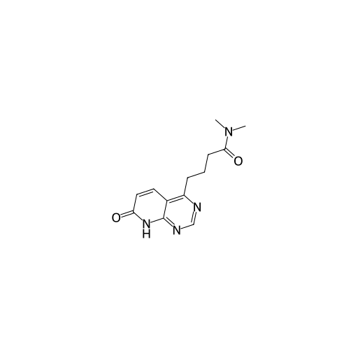 CN(C)C(=O)CCCc1ncnc2[nH]c(=O)ccc12